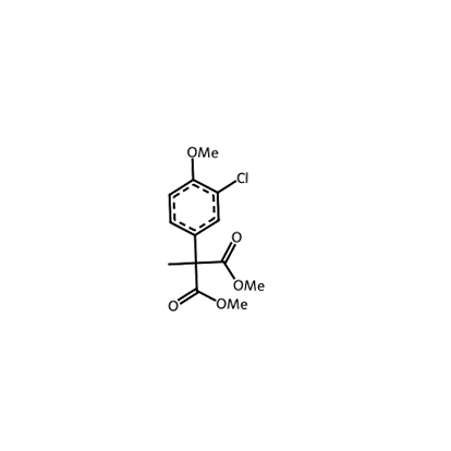 COC(=O)C(C)(C(=O)OC)c1ccc(OC)c(Cl)c1